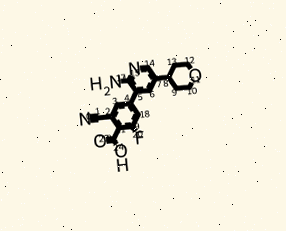 N#Cc1cc(-c2cc(C3CCOCC3)cnc2N)cc(F)c1C(=O)O